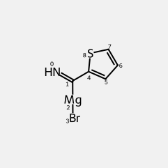 N=[C]([Mg][Br])c1cccs1